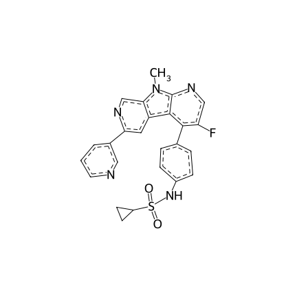 Cn1c2cnc(-c3cccnc3)cc2c2c(-c3ccc(NS(=O)(=O)C4CC4)cc3)c(F)cnc21